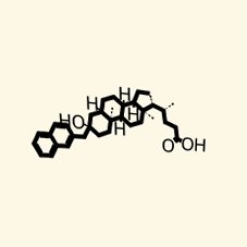 C[C@H](CCC(=O)O)[C@H]1CC[C@H]2[C@@H]3CC[C@@H]4C[C@](O)(Cc5ccc6ccccc6c5)CC[C@]4(C)[C@H]3CC[C@]12C